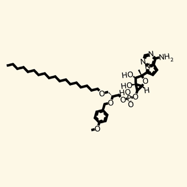 CCCCCCCCCCCCCCCCCCOC[C@H](COP(=O)(O)OC1[C@H]2O[C@@](C)(c3ccc4c(N)ncnn34)[C@H](O)[C@@]12O)OCc1ccc(OC)cc1